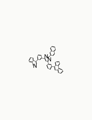 c1cc(-c2cc(-c3cccc(-c4cc5ccccc5c5ccccc45)c3)nc(-c3ccc4ccccc4c3)n2)cc(-c2cncc3ccccc23)c1